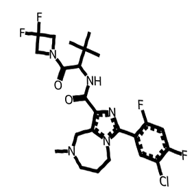 CN1CCCn2c(-c3cc(Cl)c(F)cc3F)nc(C(=O)NC(C(=O)N3CC(F)(F)C3)C(C)(C)C)c2C1